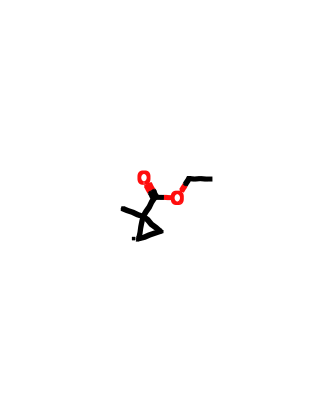 CCOC(=O)C1(C)[CH]C1